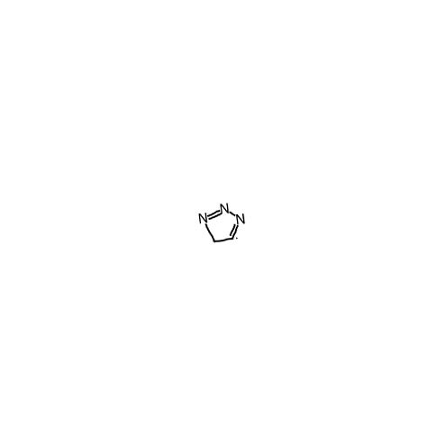 [C]1=NN=NC1